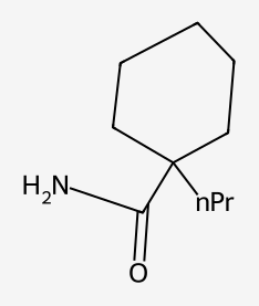 CCCC1(C(N)=O)CCCCC1